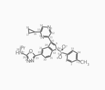 Cc1ccc(S(=O)(=O)n2cc(-c3cncc(C4CC4)n3)c3cc(-c4nnc(NC(C)C)o4)ccc32)cc1